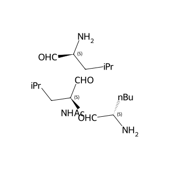 CC(=O)N[C@H](C=O)CC(C)C.CC(C)C[C@H](N)C=O.CCCC[C@H](N)C=O